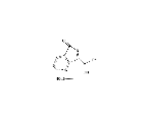 CCC(O)C1=NC(=O)c2ccccc21.CS(=O)(=O)O